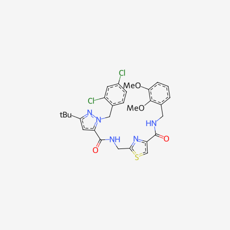 COc1cccc(CNC(=O)c2csc(CNC(=O)c3cc(C(C)(C)C)nn3Cc3ccc(Cl)cc3Cl)n2)c1OC